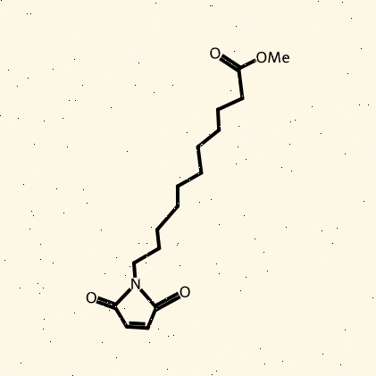 COC(=O)CCCCCCCCCCN1C(=O)C=CC1=O